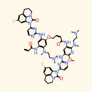 C=CC(=O)Nc1cc(Nc2nccc(-n3c(=O)n4c5c(cc(F)cc53)CCC4)n2)c(OC/C=C\C(=O)Nc2cc(Nc3nccc(-n4c(=O)n5c6c(cc(F)cc64)CCC5)n3)c(OC)nc2N(C)CCN(C)C)cc1N(C)CCN(C)C